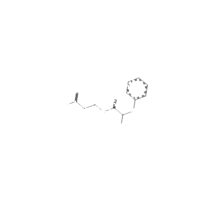 CC(Nc1ccccc1)C(=O)NCCC(=O)O